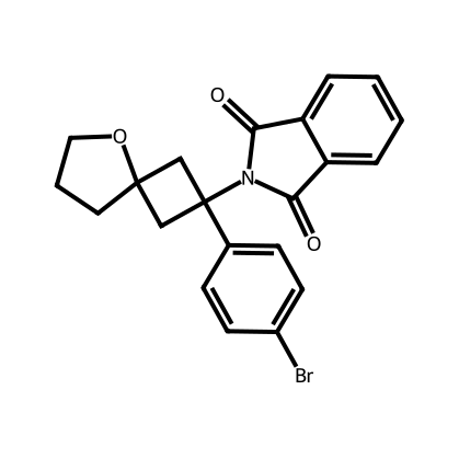 O=C1c2ccccc2C(=O)N1C1(c2ccc(Br)cc2)CC2(CCCO2)C1